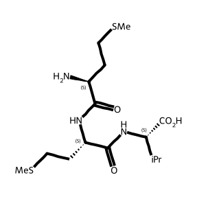 CSCC[C@H](NC(=O)[C@@H](N)CCSC)C(=O)N[C@H](C(=O)O)C(C)C